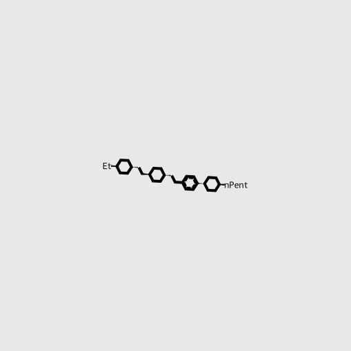 CCCCC[C@H]1CC[C@H](c2ccc(CC[C@H]3CC[C@H](CC[C@H]4CC[C@H](CC)CC4)CC3)cc2)CC1